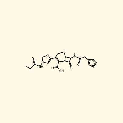 CCC(=O)NN1C=C(C2=C(C(=O)O)N3C(=O)C(NC(=O)Cc4cccs4)C3SC2)SC1